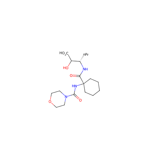 CCC[C@H](NC(=O)C1(NC(=O)N2CCOCC2)CCCCC1)C(O)C(=O)O